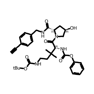 C#Cc1ccc(CNC(=O)[C@@H]2C[C@@H](O)CN2C(=O)[C@H](NC(=O)Oc2ccccc2)C(C)(C)CCNC(=O)OC(C)(C)C)cc1